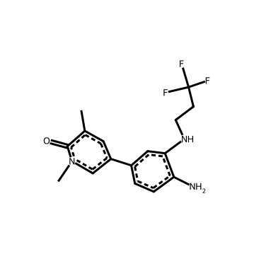 Cc1cc(-c2ccc(N)c(NCCC(F)(F)F)c2)cn(C)c1=O